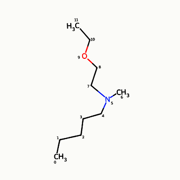 CCCCCN(C)CCOCC